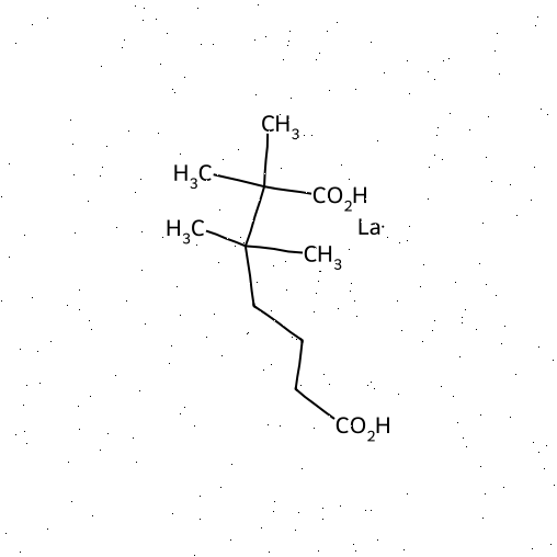 CC(C)(CCCC(=O)O)C(C)(C)C(=O)O.[La]